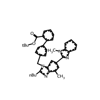 CCCCc1nc2c(C)cc(-c3nc4ccccc4n3C)cc2n1Cc1ccc(-c2ccccc2C(=O)OC(C)(C)C)cc1